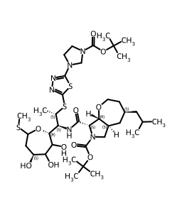 CSC1C[C@H](O)C(O)C(O)[C@@H]([C@H](NC(=O)[C@@H]2[C@@H]3OCC[C@@H](CC(C)C)C[C@H]3CN2C(=O)OC(C)(C)C)[C@H](C)Sc2nnc(N3CCN(C(=O)OC(C)(C)C)C3)s2)O1